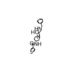 O=C(N[C@@H]1CCN(C[C@H](O)CNCc2ccccc2)C1)c1ccsc1